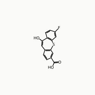 O=C(O)c1ccc2c(c1)Sc1cc(F)ccc1C(O)=C2